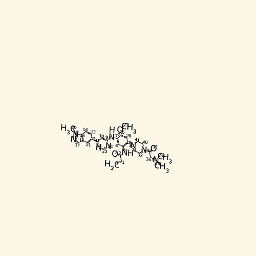 C=CC(=O)Nc1cc(Nc2cc(-c3ccc4c(cnn4C)c3)ncn2)c(OC)cc1N1CCN(C(=O)CN(C)C)CC1